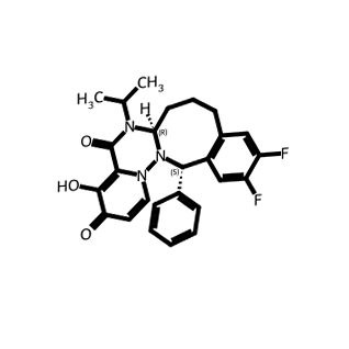 CC(C)N1C(=O)c2c(O)c(=O)ccn2N2[C@@H](c3ccccc3)c3cc(F)c(F)cc3CCC[C@H]12